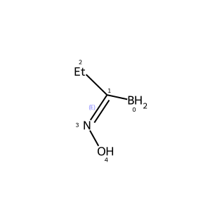 B/C(CC)=N\O